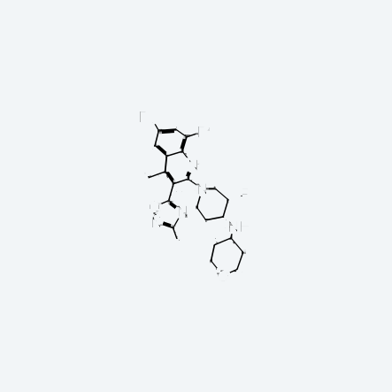 CCc1cc(F)c2nc(N3CC[C@@H](NC4CCOCC4)[C@@H](F)C3)c(-c3nc(C)no3)c(C)c2c1